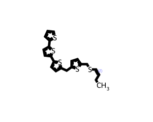 CC/C=C\SCc1ccc(Cc2ccc(-c3ccc(-c4cccs4)s3)s2)s1